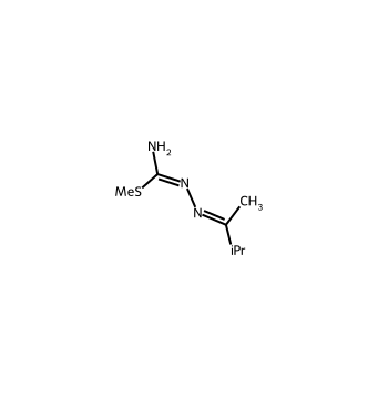 CS/C(N)=N\N=C(/C)C(C)C